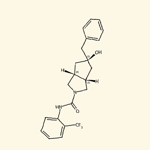 O=C(Nc1ccccc1C(F)(F)F)N1C[C@@H]2C[C@](O)(Cc3ccccc3)C[C@@H]2C1